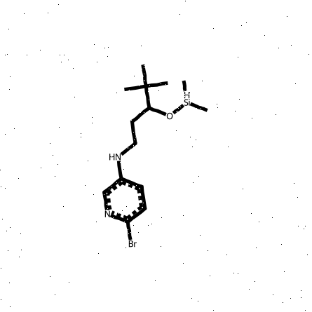 C[SiH](C)OC(CCNc1ccc(Br)nc1)C(C)(C)C